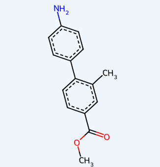 COC(=O)c1ccc(-c2ccc(N)cc2)c(C)c1